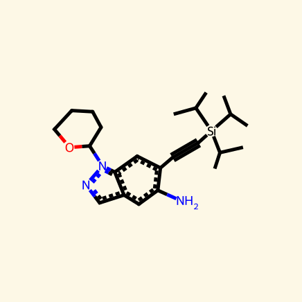 CC(C)[Si](C#Cc1cc2c(cnn2C2CCCCO2)cc1N)(C(C)C)C(C)C